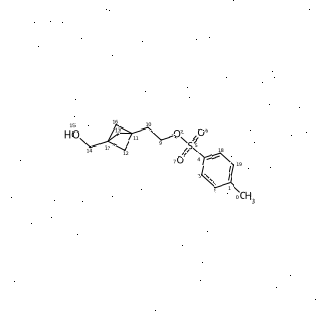 Cc1ccc(S(=O)(=O)OCCC23CC(CO)(C2)C3)cc1